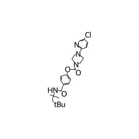 CC(C)(C)CC(C)(C)NC(=O)c1ccc(OC(=O)N2CCN(c3ccc(Cl)cn3)CC2)cc1